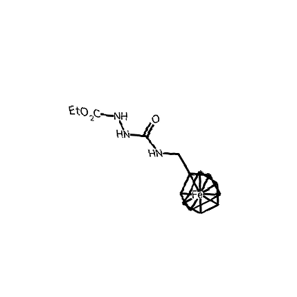 CCOC(=O)NNC(=O)NC[C]12[CH]3[CH]4[CH]5[CH]1[Fe]45321678[CH]2[CH]1[CH]6[CH]7[CH]28